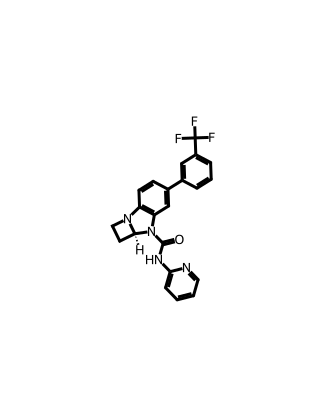 O=C(Nc1ccccn1)N1c2cc(-c3cccc(C(F)(F)F)c3)ccc2N2CC[C@@H]21